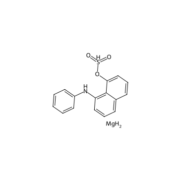 O=[SH](=O)Oc1cccc2cccc(Nc3ccccc3)c12.[MgH2]